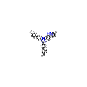 CCc1ccc(-c2ccc(-c3nc(-c4ccc(-c5ccc(CC)cc5)cc4)nc(-c4ccc(C5C=CC(C)=CN5)cc4)n3)cc2)cc1